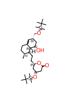 C[C@H]1CCC2=C[C@H](CO[Si](C)(C)C(C)(C)C)C[C@H](O)[C@@H]2[C@H]1CC[C@@H]1C[C@@H](O[Si](C)(C)C(C)(C)C)CC(=O)O1